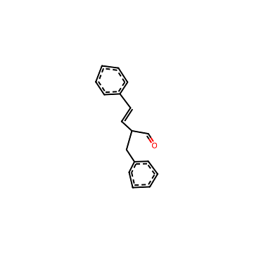 O=CC(C=Cc1ccccc1)Cc1ccccc1